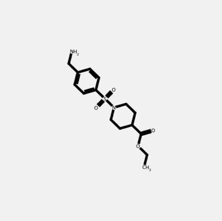 CCOC(=O)C1CCN(S(=O)(=O)c2ccc(CN)cc2)CC1